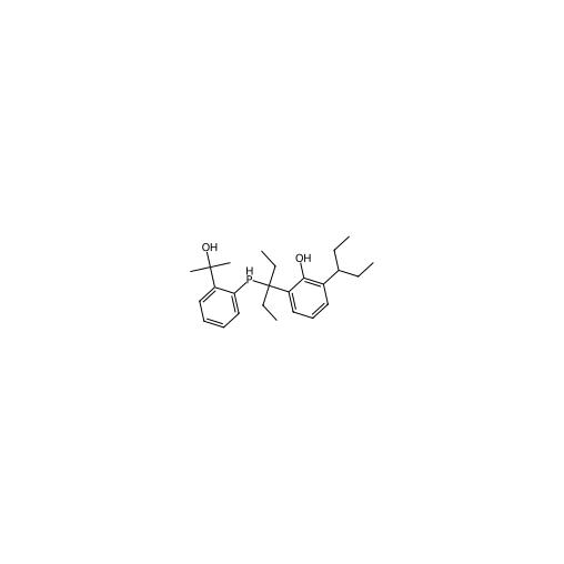 CCC(CC)c1cccc(C(CC)(CC)Pc2ccccc2C(C)(C)O)c1O